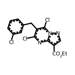 CCOC(=O)c1cnn2c(Cl)c(Cc3cccc(Cl)c3)c(Cl)nc12